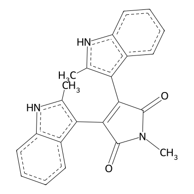 Cc1[nH]c2ccccc2c1C1=C(c2c(C)[nH]c3ccccc23)C(=O)N(C)C1=O